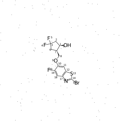 O[C@@H]1CC(F)(F)C[C@@H]1COc1cc2sc(Br)nc2cc1F